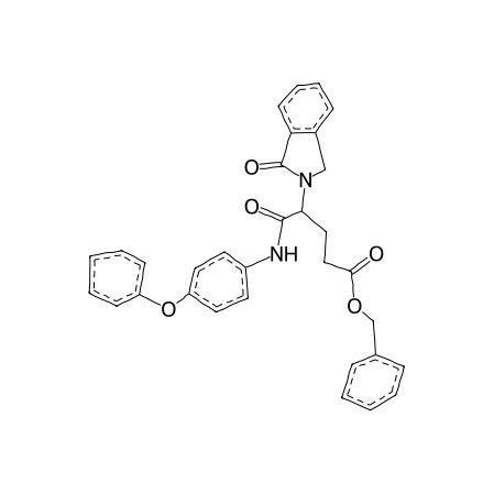 O=C(CCC(C(=O)Nc1ccc(Oc2ccccc2)cc1)N1Cc2ccccc2C1=O)OCc1ccccc1